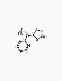 Cl.Cl.c1ccc(OC2CCNC2)nc1